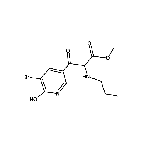 CCCNC(C(=O)OC)C(=O)c1cnc(O)c(Br)c1